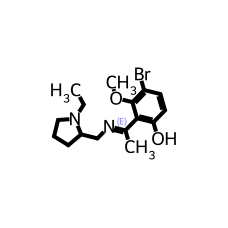 CCN1CCCC1C/N=C(\C)c1c(O)ccc(Br)c1OC